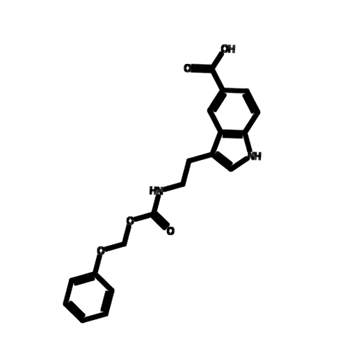 O=C(NCCc1c[nH]c2ccc(C(=O)O)cc12)OCOc1ccccc1